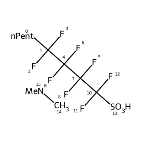 CCCCCC(F)(F)C(F)(F)C(F)(F)C(F)(F)S(=O)(=O)O.CNC